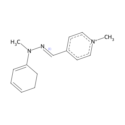 CN(/N=C/c1cc[n+](C)cc1)C1=CC=CCC1